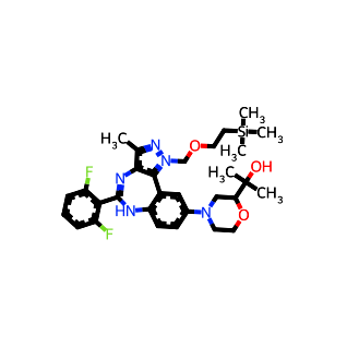 Cc1nn(COCC[Si](C)(C)C)c2c1N=C(c1c(F)cccc1F)Nc1ccc(N3CCOC(C(C)(C)O)C3)cc1-2